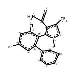 Cn1nc(C(F)(F)F)c(C(N)=O)c1-c1c(Cl)cc(F)cc1-c1ccccc1